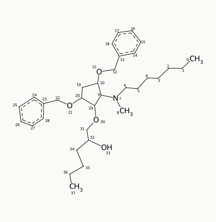 CCCCCCCN(C)C1C(OCc2ccccc2)CC(OCc2ccccc2)C1OCC(O)CCCC